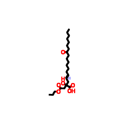 CCCCCCCC(=O)CCCCCC/C=C/C[C@@](O)(CC(=O)OCCC)C(=O)O